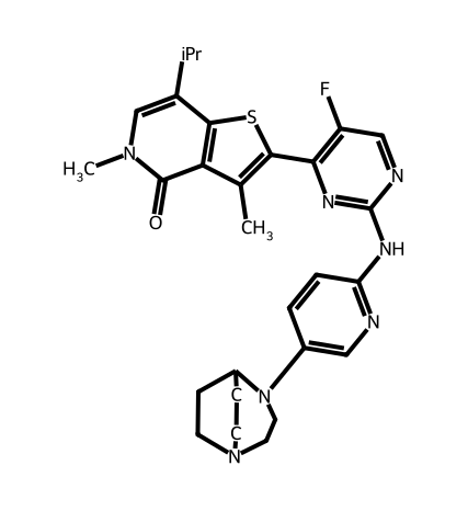 Cc1c(-c2nc(Nc3ccc(N4CCN5CCC4CC5)cn3)ncc2F)sc2c(C(C)C)cn(C)c(=O)c12